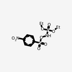 CCOP(=O)(NOS(=O)(=O)c1ccc([N+](=O)[O-])cc1)OCC